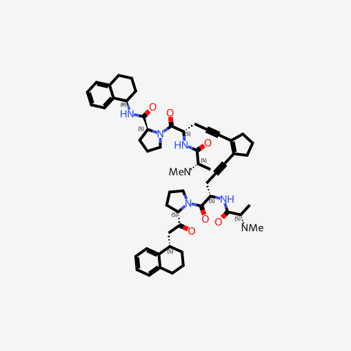 CN[C@@H](C)C(=O)N[C@@H](CC#CC1=C(C#CC[C@H](NC(=O)[C@H](C)NC)C(=O)N2CCC[C@H]2C(=O)N[C@@H]2CCCc3ccccc32)CCC1)C(=O)N1CCC[C@H]1C(=O)C[C@@H]1CCCc2ccccc21